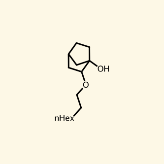 CCCCCCCCOC1CC2CCC1(O)C2